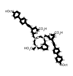 CCCCCCCCc1ccc(-c2ccc(C#Cc3cc(CN4CCN(CC(=O)O)Cc5cccc(n5)CN(Cc5cc(C#Cc6ccc(-c7ccc(CCCCCCCC)cc7)cc6)cc(C(=O)O)n5)CC4)nc(C(=O)O)c3)cc2)cc1